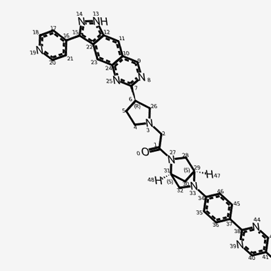 O=C(CN1CC[C@@H](c2ncc3cc4[nH]nc(-c5ccncc5)c4cc3n2)C1)N1C[C@@H]2C[C@H]1CN2c1ccc(-c2ncc(F)cn2)cc1